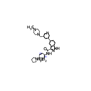 C=C(/C=C\C(=C/C)NC(=O)c1n[nH]c2ccc(-c3cncc(CN4CCN(C)CC4)c3)cc12)N1CCCC1